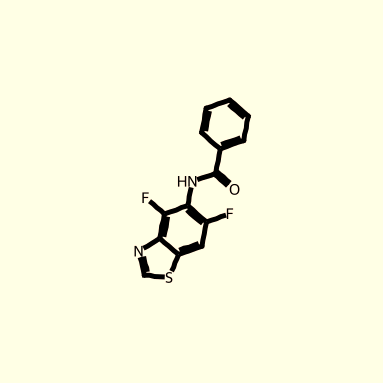 O=C(Nc1c(F)cc2scnc2c1F)c1ccccc1